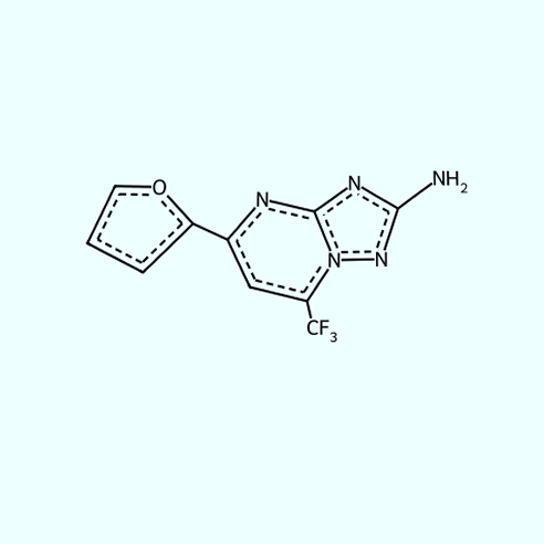 Nc1nc2nc(-c3ccco3)cc(C(F)(F)F)n2n1